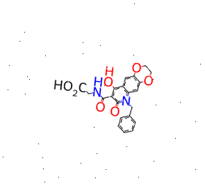 O=C(O)CNC(=O)c1c(O)c2cc3c(cc2n(Cc2ccccc2)c1=O)OCCO3